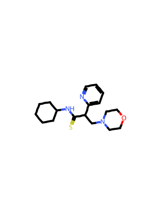 S=C(NC1CCCCC1)C(CN1CCOCC1)c1ccccn1